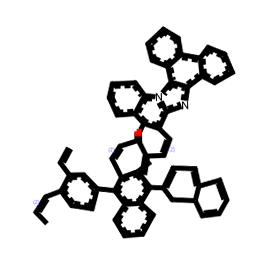 C=Cc1cc(-c2c(/C=C\C(=C)C(=C)/C=C\c3c(C)c4ccccc4n4c3nc3c5ccccc5c5ccccc5c34)c(C)c(C3=CC=C4C=CC=CC4C3)c3ccccc23)ccc1/C=C\C